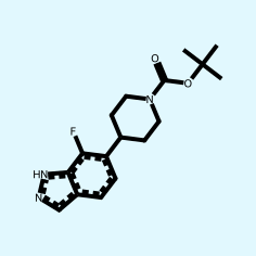 CC(C)(C)OC(=O)N1CCC(c2ccc3cn[nH]c3c2F)CC1